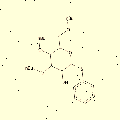 CCCCOCC1OC(Sc2ccccc2)C(O)C(OCCCC)C1OCCCC